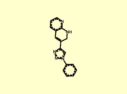 C1=C(c2cn(-c3ccccc3)nn2)CNc2ncccc21